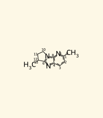 Cc1ccc2nc3n(c2n1)CCC3C